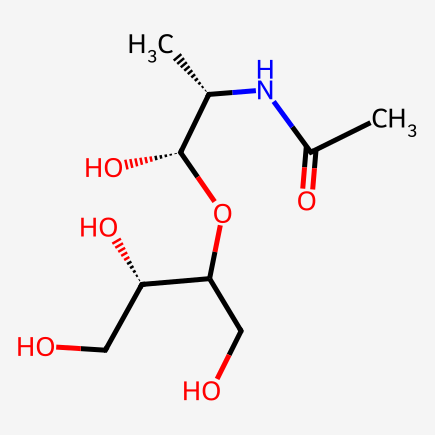 CC(=O)N[C@@H](C)[C@@H](O)OC(CO)[C@@H](O)CO